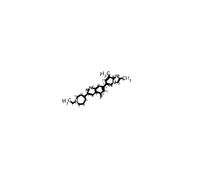 CCN1CCCC(c2cc3c(F)cc(-c4cc(C)c5nc(C)cn5n4)cc3nn2)CC1